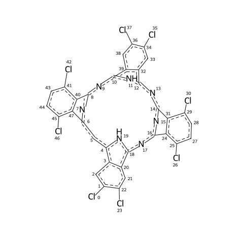 Clc1cc2c3cc4nc(nc5[nH]c(nc6nc(nc([nH]3)c2cc1Cl)-c1c(Cl)ccc(Cl)c1-6)c1cc(Cl)c(Cl)cc51)-c1c(Cl)ccc(Cl)c1-4